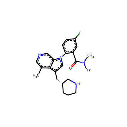 Cc1cncc2c1c(C[C@H]1CCCNC1)cn2-c1ccc(F)cc1C(=O)N(C)C(C)C